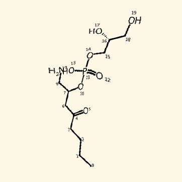 CCCCC(=O)CC(CN)OP(=O)(O)OC[C@H](O)CO